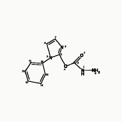 NNC(=O)Oc1nccn1-c1ccccc1